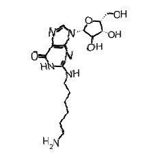 NCCCCCCNc1nc2c(ncn2[C@@H]2O[C@H](CO)[C@H](O)C2O)c(=O)[nH]1